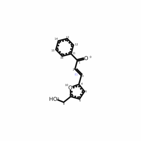 O=C(/C=C/c1ccc(CO)o1)c1ccccc1